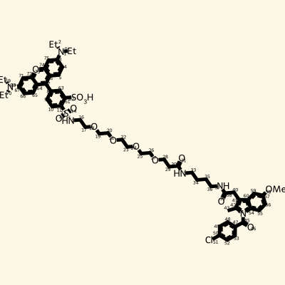 CCN(CC)c1ccc2c(-c3ccc(S(=O)(=O)NCCOCCOCCOCCOCCC(=O)NCCCCNC(=O)Cc4c(C)n(C(=O)c5ccc(Cl)cc5)c5ccc(OC)cc45)c(S(=O)(=O)O)c3)c3ccc(=[N+](CC)CC)cc-3oc2c1